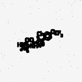 Cc1c(C(=O)Nc2c(C)n(C)[nH]c2=O)noc1-c1ccc(OC(F)(F)F)cc1Cl